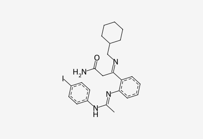 C/C(=N\c1ccccc1/C(CC(N)=O)=N/CC1CCCCC1)Nc1ccc(I)cc1